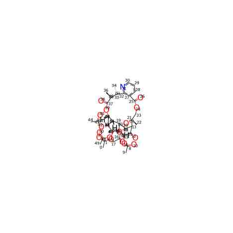 CC(=O)OC[C@@]12[C@H](OC(C)=O)C(=O)C3[C@@H](OC(C)=O)[C@@]14O[C@]3(C)COC(=O)c1cccnc1[C@@H](C)[C@H](C)C(=O)O[C@@H]([C@@H](OC(C)=O)[C@H]2OC(C)=O)[C@H]4C